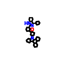 C1=CC2=C(c3ccccc3)N=C(c3cccc4c3oc3ccc(-n5c6ccccc6c6c7ccccc7c7ccccc7c65)cc34)NC2C=C1